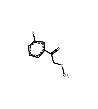 COCC(=O)c1cccc(F)c1